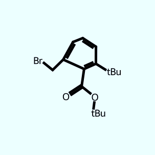 CC(C)(C)OC(=O)c1c(CBr)cccc1C(C)(C)C